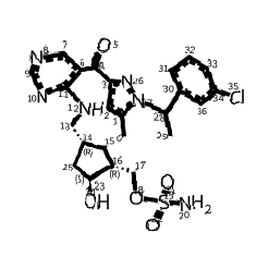 Cc1cc(C(=O)c2cncnc2NC[C@@H]2C[C@H](COS(N)(=O)=O)[C@@H](O)C2)nn1C(C)c1cccc(Cl)c1